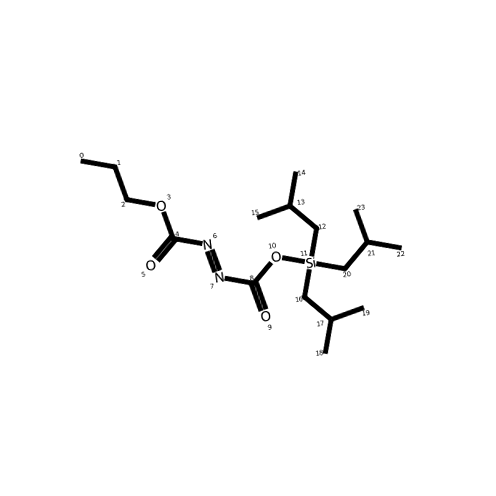 CCCOC(=O)/N=N/C(=O)O[Si](CC(C)C)(CC(C)C)CC(C)C